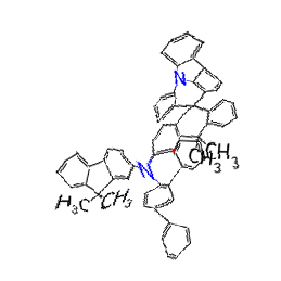 CC1(C)c2ccccc2-c2ccc(N(c3ccc4c(c3)C(C)(C)c3ccccc3C43c4ccccc4-n4c5ccccc5c5cccc3c54)c3ccc(-c4ccccc4)cc3-c3ccccc3)cc21